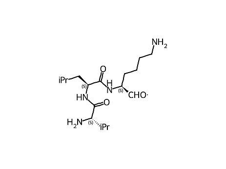 CC(C)C[C@H](NC(=O)[C@@H](N)C(C)C)C(=O)N[C@H]([C]=O)CCCCN